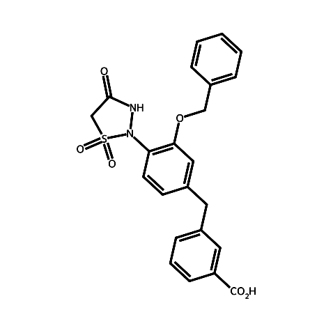 O=C1CS(=O)(=O)N(c2ccc(Cc3cccc(C(=O)O)c3)cc2OCc2ccccc2)N1